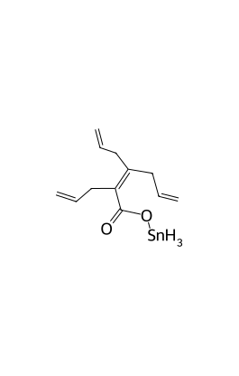 C=CCC(CC=C)=C(CC=C)C(=O)[O][SnH3]